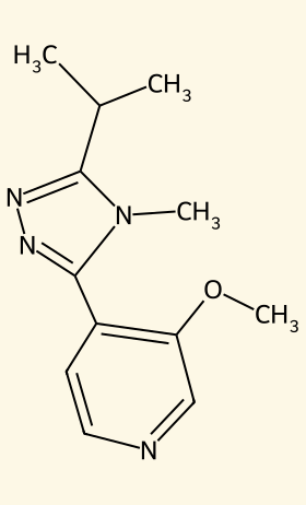 COc1cnccc1-c1nnc(C(C)C)n1C